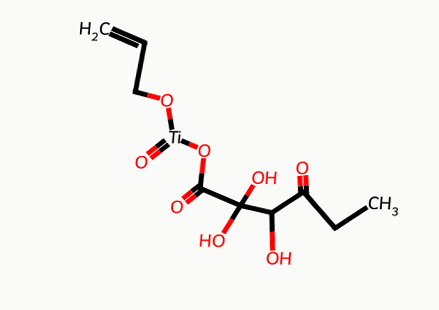 C=CC[O][Ti](=[O])[O]C(=O)C(O)(O)C(O)C(=O)CC